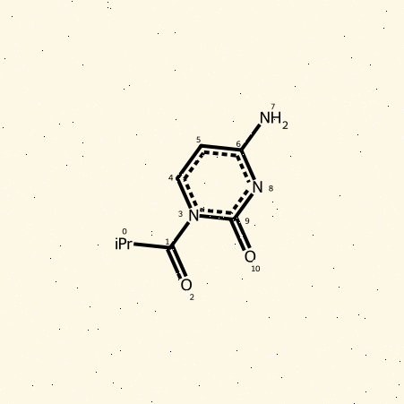 CC(C)C(=O)n1ccc(N)nc1=O